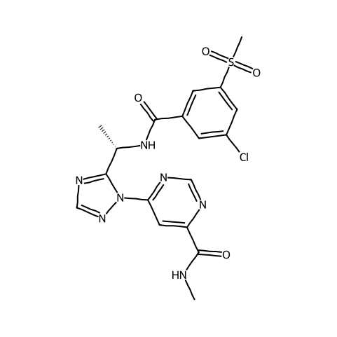 CNC(=O)c1cc(-n2ncnc2[C@H](C)NC(=O)c2cc(Cl)cc(S(C)(=O)=O)c2)ncn1